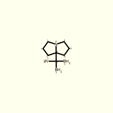 BC(B)(C(C)C)C12CCCN1CCC2